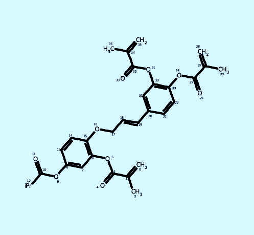 C=C(C)C(=O)Oc1cc(OC(=O)C(C)C)ccc1OC/C=C/c1ccc(OC(=O)C(=C)C)c(OC(=O)C(=C)C)c1